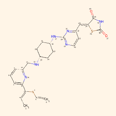 C=CS/C(=C\C)c1cccc(CN[C@H]2CC[C@@H](Nc3nccc(/C=C4\SC(=O)NC4=O)n3)CC2)n1